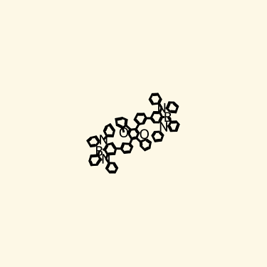 c1ccc(N2c3ccccc3B3c4ccccc4N(c4ccccc4)c4cc(-c5cccc(-c6c7oc8ccccc8c7c(-c7cccc(-c8cc9c%10c(c8)N(c8ccccc8)c8ccccc8B%10c8ccccc8N9c8ccccc8)c7)c7oc8ccccc8c67)c5)cc2c43)cc1